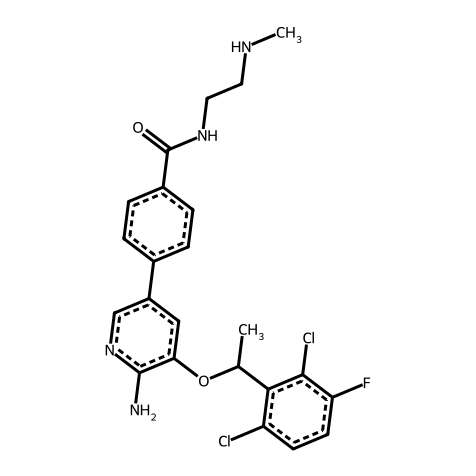 CNCCNC(=O)c1ccc(-c2cnc(N)c(OC(C)c3c(Cl)ccc(F)c3Cl)c2)cc1